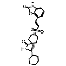 O=C1NC(C2CCCCC2)=NC12CCN(S(=O)(=O)C=Cc1cccc3[nH]c(=O)oc13)CC2